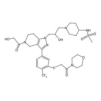 CS(=O)(=O)NC1CCN(CC(O)Cn2nc(-c3ccc(C(F)(F)F)c(SCC(=O)N4CCOCC4)c3)c3c2CCN(C(=O)CO)C3)CC1